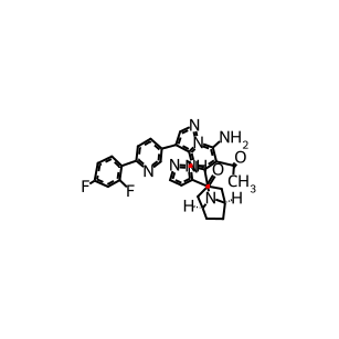 CC(=O)c1c(C2C[C@H]3CC[C@@H](C2)N3C(=O)c2ccn[nH]2)nc2c(-c3ccc(-c4ccc(F)cc4F)nc3)cnn2c1N